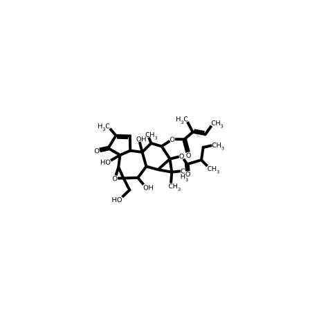 C/C=C(\C)C(=O)OC1C(C)C2(O)C(C(O)C3(CO)OC3C3(O)C(=O)C(C)=CC32)C2C(C)(C)C12OC(=O)C(C)CC